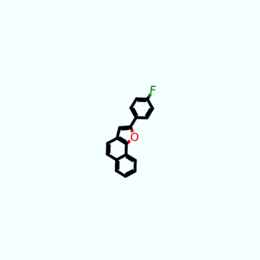 Fc1ccc(-c2cc3ccc4ccccc4c3o2)cc1